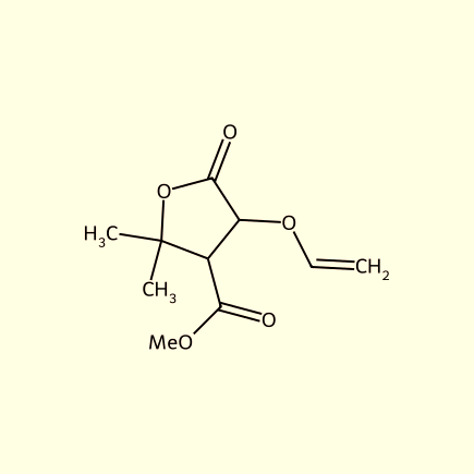 C=COC1C(=O)OC(C)(C)C1C(=O)OC